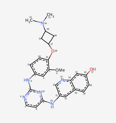 COc1cc(Nc2nccc(Nc3cnc4cc(O)ccc4c3)n2)ccc1OC1CC(N(C)C)C1